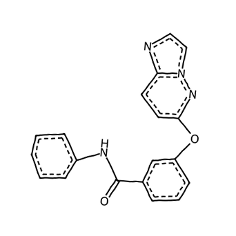 O=C(Nc1ccccc1)c1cccc(Oc2ccc3nccn3n2)c1